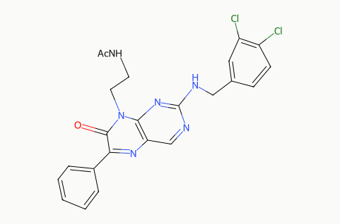 CC(=O)NCCn1c(=O)c(-c2ccccc2)nc2cnc(NCc3ccc(Cl)c(Cl)c3)nc21